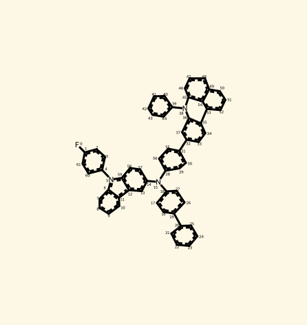 Fc1ccc(-n2c3ccccc3c3cc(N(c4ccc(-c5ccccc5)cc4)c4ccc(-c5ccc6c(c5)N(c5ccccc5)c5cccc7cccc-6c57)cc4)ccc32)cc1